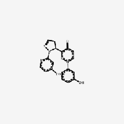 CCOC(=O)c1ccnc(N2N=CCC2c2nn(-c3cccc(O)c3)ccc2=O)c1